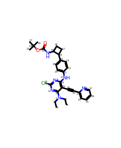 CCN(CC)c1nc(Cl)nc(Nc2ccc(C3CCC3NC(=O)OC(C)(C)C)cc2)c1C#Cc1ccccn1